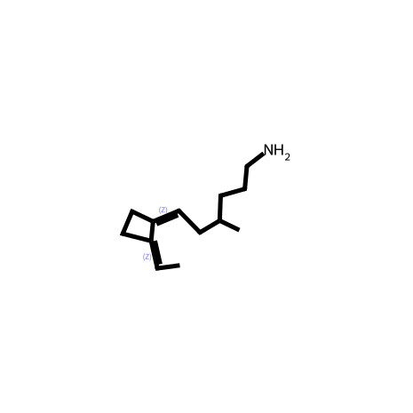 C/C=C1/CC/C1=C/CC(C)CCCN